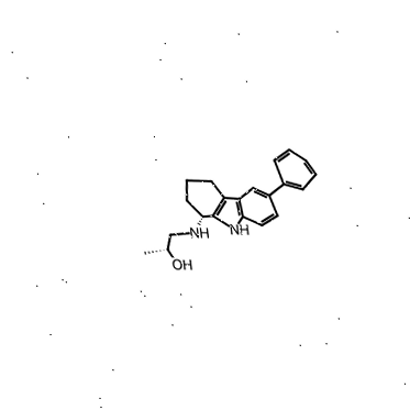 C[C@@H](O)CN[C@@H]1CCCc2c1[nH]c1ccc(-c3ccccc3)cc21